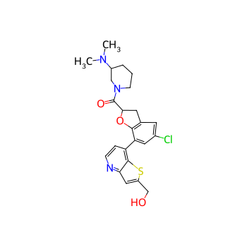 CN(C)C1CCCN(C(=O)C2Cc3cc(Cl)cc(-c4ccnc5cc(CO)sc45)c3O2)C1